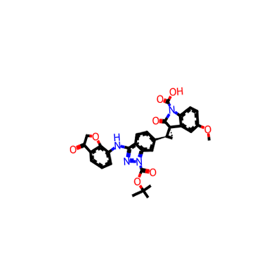 COc1ccc2c(c1)[C@]1(C[C@H]1c1ccc3c(Nc4cccc5c4OCC5=O)nn(C(=O)OC(C)(C)C)c3c1)C(=O)N2C(=O)O